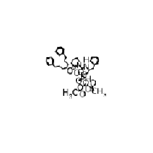 CC(=O)OC(OC(C)=O)O[PH](=O)OCC(Cc1ccccc1)NC(=O)N1CCCC[C@H]1C(=O)OC(CCCc1ccccc1)CCCc1ccccc1